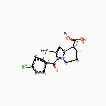 Cc1cc2n(c1C(=O)c1ccc(Br)cc1)CCCC2C(=O)O